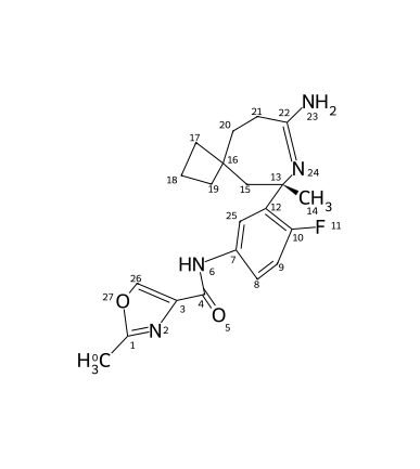 Cc1nc(C(=O)Nc2ccc(F)c([C@]3(C)CC4(CCC4)CCC(N)=N3)c2)co1